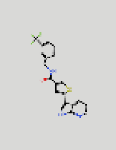 O=C(NCc1cccc(C(F)(F)F)c1)c1csc(-c2c[nH]c3ncccc23)c1